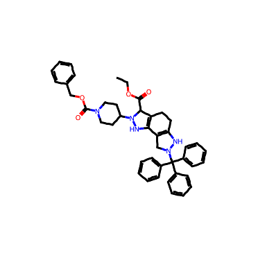 CCOC(=O)C1C2=C(NN1C1CCN(C(=O)OCc3ccccc3)CC1)C1=C(CC2)NN(C(c2ccccc2)(c2ccccc2)c2ccccc2)C1